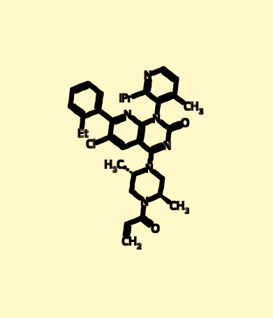 C=CC(=O)N1C[C@H](C)N(c2nc(=O)n(-c3c(C)ccnc3C(C)C)c3nc(-c4ccccc4CC)c(Cl)cc23)C[C@H]1C